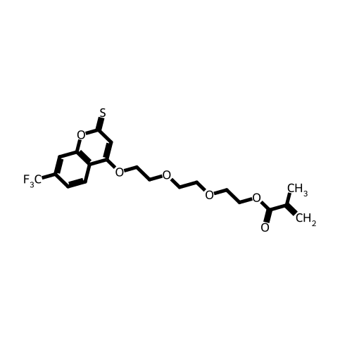 C=C(C)C(=O)OCCOCCOCCOc1cc(=S)oc2cc(C(F)(F)F)ccc12